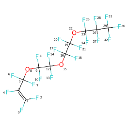 FC(F)=C(F)C(F)(F)OC(F)(F)C(F)(F)OC(F)(F)C(F)(F)OC(F)(F)C(F)(F)C(F)(F)F